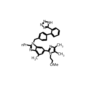 CCCc1nc2c(C)cc(-c3nc(C)c(C)n3CCOC)cc2n1Cc1ccc(-c2ccccc2-c2nnn[nH]2)cc1